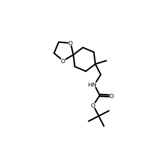 CC1(CNC(=O)OC(C)(C)C)CCC2(CC1)OCCO2